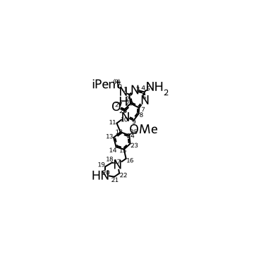 CCC[C@@H](C)Nc1nc(N)nc2ccn(Cc3ccc(CN4CCNCC4)cc3OC)c(=O)c12